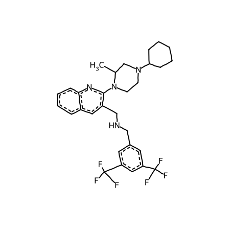 CC1CN(C2CCCCC2)CCN1c1nc2ccccc2cc1CNCc1cc(C(F)(F)F)cc(C(F)(F)F)c1